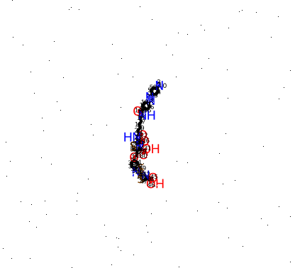 CN(C)c1ccc(/N=N/c2ccc(C(=O)NCCCCCC(=O)NC3C(=O)N4C(C(=O)O)=C(COc5ccc6nc(C7=NC(C(=O)O)CS7)sc6c5)CSC34)cc2)cc1